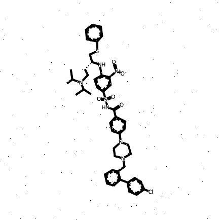 CC(C)N(CC[C@H](CSc1ccccc1)Nc1ccc(S(=O)(=O)NC(=O)c2ccc(N3CCN(Cc4ccccc4-c4ccc(Cl)cc4)CC3)cc2)cc1[N+](=O)[O-])C(C)C